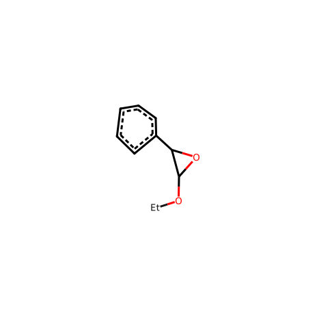 CCOC1OC1c1ccccc1